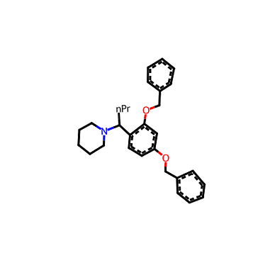 [CH2]CCC(c1ccc(OCc2ccccc2)cc1OCc1ccccc1)N1CCCCC1